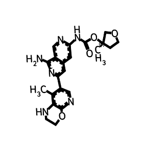 Cc1c(-c2cc3cc(NC(=O)O[C@]4(C)CCOC4)ncc3c(N)n2)cnc2c1NCCO2